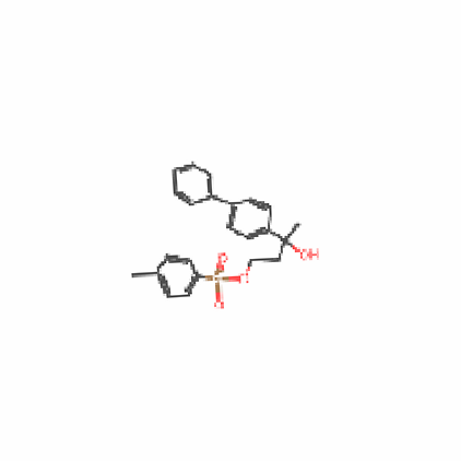 Cc1ccc(S(=O)(=O)OCCC(C)(O)c2ccc(-c3ccccc3)cc2)cc1